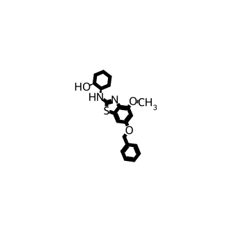 COc1cc(OCc2ccccc2)cc2sc(N[C@@H]3CCCC[C@H]3O)nc12